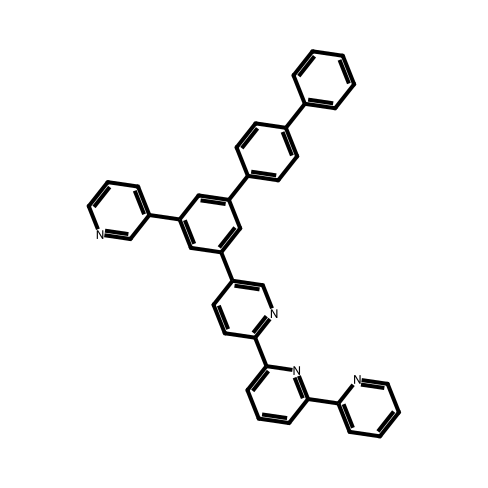 c1ccc(-c2ccc(-c3cc(-c4cccnc4)cc(-c4ccc(-c5cccc(-c6ccccn6)n5)nc4)c3)cc2)cc1